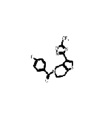 O=C(c1ccc(F)cc1)N1CCc2scc(-c3noc(C(F)(F)F)n3)c2C1